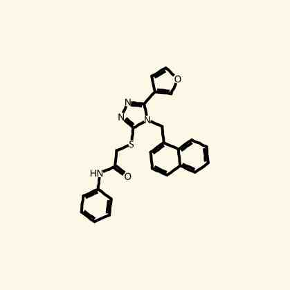 O=C(CSc1nnc(-c2ccoc2)n1Cc1cccc2ccccc12)Nc1ccccc1